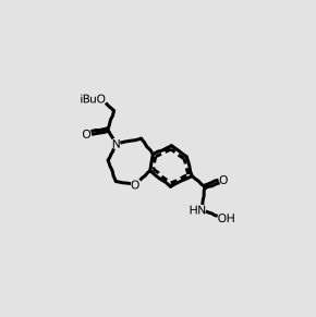 CC(C)COCC(=O)N1CCOc2cc(C(=O)NO)ccc2C1